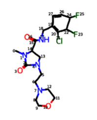 CN1C(=O)N(CCN2CCOCC2)CC1C(=O)NCC1=C(Cl)C(F)C(F)C=C1